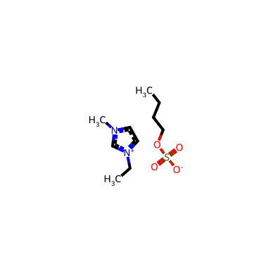 CCCCOS(=O)(=O)[O-].CC[n+]1ccn(C)c1